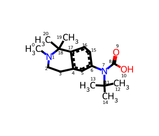 CN1CCc2cc(N(C(=O)O)C(C)(C)C)ccc2C1(C)C